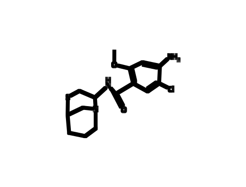 COc1cc(N)c(Cl)cc1C(=O)NC1CSC2CCCN1C2